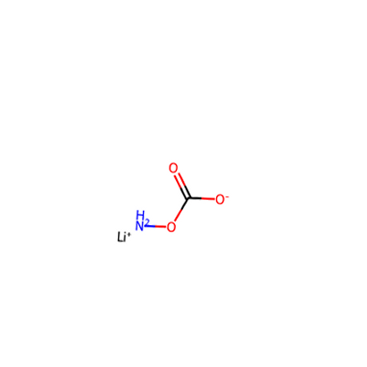 NOC(=O)[O-].[Li+]